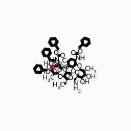 CC[C@H]1O[C@@H](O[C@@H]2[C@@H](O)[C@H](C)C[C@H](NC(=O)OCc3ccccc3)[C@H]2O[C@H]2O[C@H](CN)[C@@H](O)[C@H](O)[C@H]2C)[C@H](OCCN(CCc2ccccc2)C(=O)OCc2ccccc2)[C@@H]1O[C@H]1O[C@@H](CNC(=O)OCc2ccccc2)[C@@H](O)[C@H](O)[C@H]1C